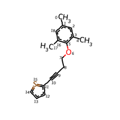 Cc1cc(C)c(OCCC#Cc2cccs2)c(C)c1